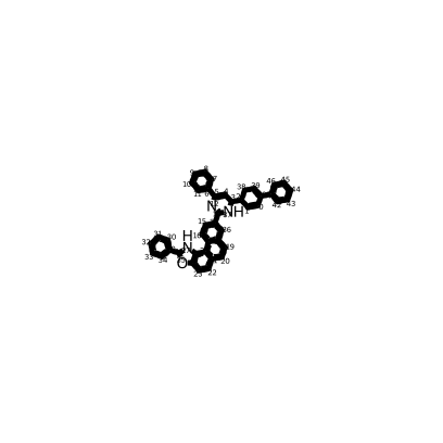 C1=CC(C2C=C(c3ccccc3)N=C(c3ccc4c(ccc5ccc6c(c54)NC(c4ccccc4)O6)c3)N2)CC=C1c1ccccc1